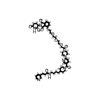 O=C(/C=C/c1cccnc1)NCCCCC1CCN(C(=O)c2ccc(N3CCN(C(=O)COCCOCCOCCSc4cccc5c4C(=O)N(C4CCC(=O)NC4=O)C5=O)CC3)nc2)CC1